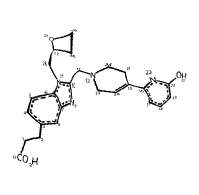 O=C(O)CCc1ccc2c(c1)nc(CN1CC=C(c3cccc(O)n3)CC1)n2C[C@@H]1CCO1